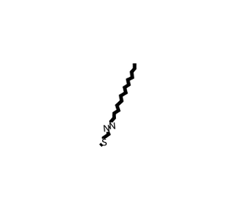 CCCCCCCCCCCCCCC/N=N/CCSC